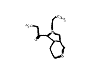 CCC(=O)C1C2CCSCC2CN1CC